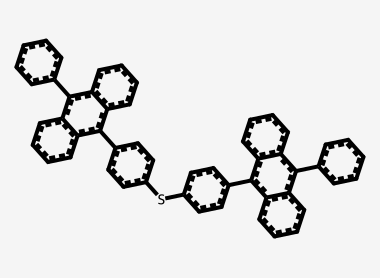 c1ccc(-c2c3ccccc3c(-c3ccc(Sc4ccc(-c5c6ccccc6c(-c6ccccc6)c6ccccc56)cc4)cc3)c3ccccc23)cc1